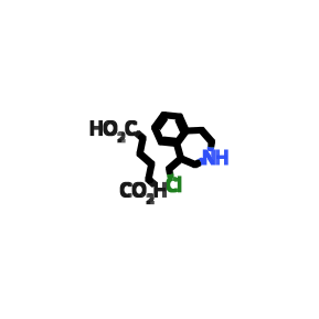 ClCC1CNCCc2ccccc21.O=C(O)CCCCC(=O)O